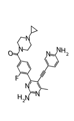 Cc1nc(N)nc(-c2ccc(C(=O)N3CCN(C4CC4)CC3)cc2F)c1C#Cc1ccc(N)nc1